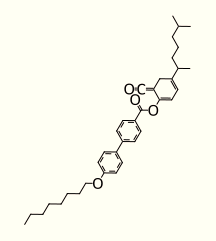 CCCCCCCCOc1ccc(-c2ccc(C(=O)OC3=CC=C(C(C)CCCC(C)C)CC3=C=O)cc2)cc1